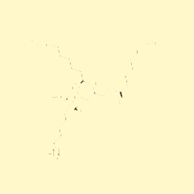 CCCCCCCCCCCCCCCC(=O)OCC(COP(=O)(O)OCCCC[N+](C)(C)C)OC(=O)CCCCCCCCCCCCCCC